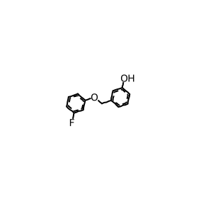 Oc1cccc(COc2cccc(F)c2)c1